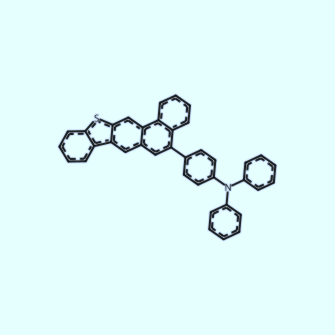 c1ccc(N(c2ccccc2)c2ccc(-c3cc4cc5c(cc4c4ccccc34)sc3ccccc35)cc2)cc1